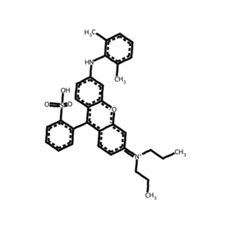 CCC[N+](CCC)=c1ccc2c(-c3ccccc3S(=O)(=O)O)c3ccc(Nc4c(C)cccc4C)cc3oc-2c1